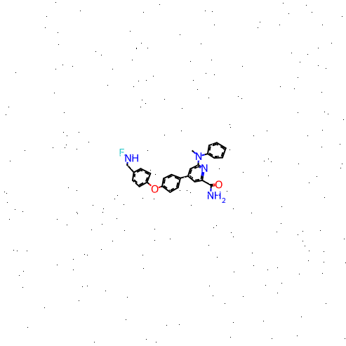 CN(c1ccccc1)c1cc(-c2ccc(Oc3ccc(CNF)cc3)cc2)cc(C(N)=O)n1